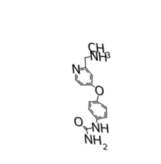 CNCc1cc(Oc2ccc(NC(N)=O)cc2)ccn1